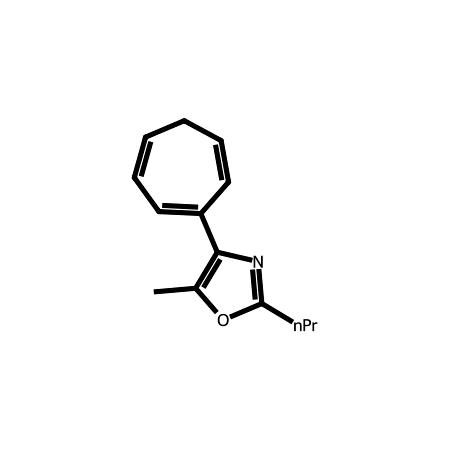 CCCc1nc(C2=CC=CCC=C2)c(C)o1